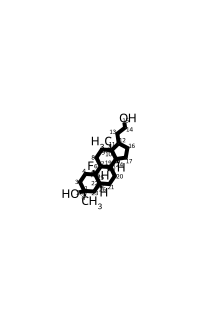 C[C@@]1(O)CC[C@]2(F)C3CC[C@@]4(C)C(CCO)CC[C@H]4[C@@H]3CC[C@@H]2C1